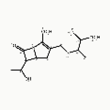 CC(O)C1C(=O)N2C(C(=O)O)=C(CSC(C)C(N)C(=O)O)CC12